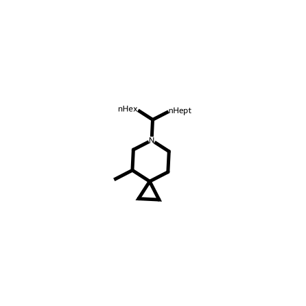 CCCCCCCC(CCCCCC)N1CCC2(CC2)C(C)C1